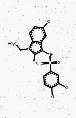 Cc1c(NS(=O)(=O)c2ccc(Cl)c(Cl)c2)c2cc(Cl)ccc2n1CC(=O)O